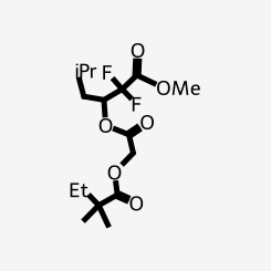 CCC(C)(C)C(=O)OCC(=O)OC(CC(C)C)C(F)(F)C(=O)OC